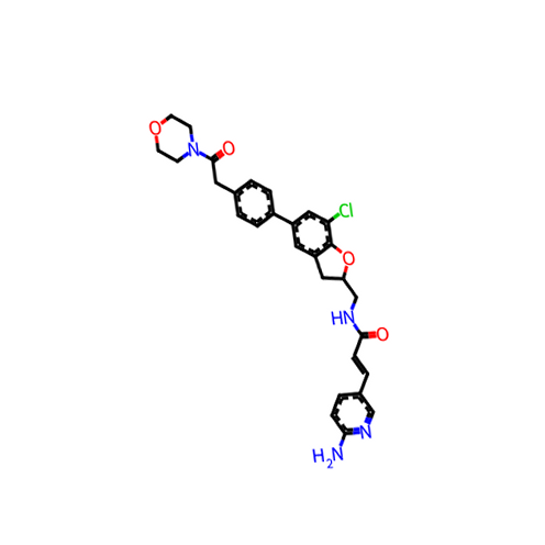 Nc1ccc(C=CC(=O)NCC2Cc3cc(-c4ccc(CC(=O)N5CCOCC5)cc4)cc(Cl)c3O2)cn1